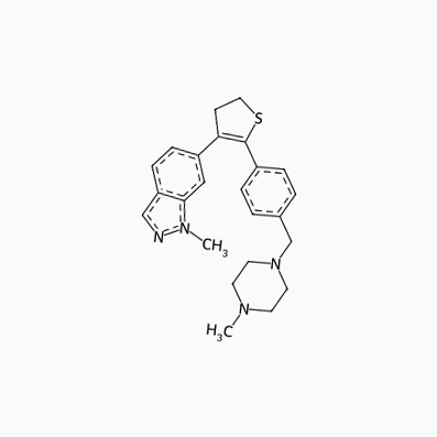 CN1CCN(Cc2ccc(C3=C(c4ccc5cnn(C)c5c4)CCS3)cc2)CC1